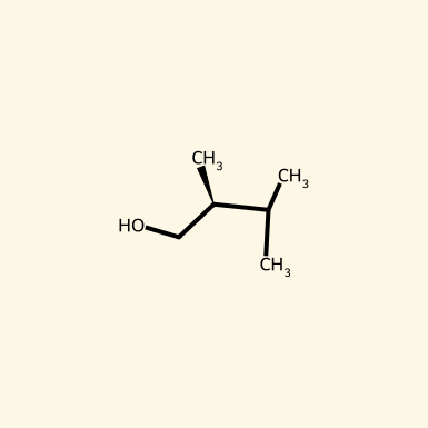 CC(C)[C@H](C)CO